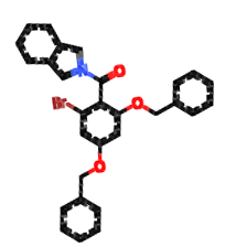 O=C(c1c(Br)cc(OCc2ccccc2)cc1OCc1ccccc1)n1cc2ccccc2c1